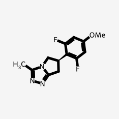 COc1cc(F)c([C@H]2Cc3nnc(C)n3C2)c(F)c1